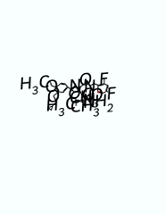 CCOc1ccc(-c2nc(C(=O)NCc3ccc(F)cc3F)c(C(CC(C)(C)C)OC(N)=O)o2)cc1OCC1CC1